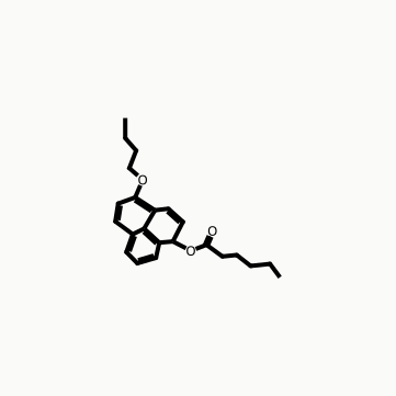 CCCCCC(=O)OC1C=Cc2c(OCCCC)ccc3cccc1c23